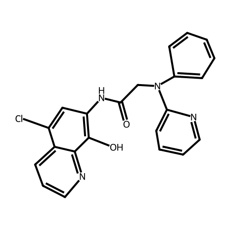 O=C(CN(c1ccccc1)c1ccccn1)Nc1cc(Cl)c2cccnc2c1O